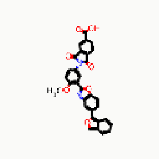 COc1ccc(N2C(=O)c3ccc(C(=O)O)cc3C2=O)cc1-c1nc2cc(-c3occ4ccccc34)ccc2o1